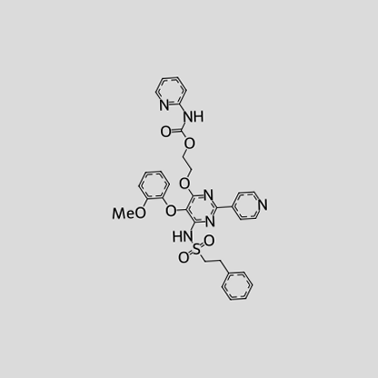 COc1ccccc1Oc1c(NS(=O)(=O)CCc2ccccc2)nc(-c2ccncc2)nc1OCCOC(=O)Nc1ccccn1